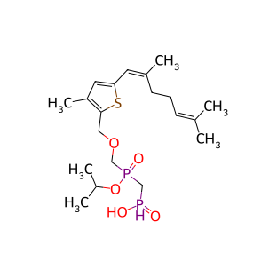 CC(C)=CCCC(C)=Cc1cc(C)c(COCP(=O)(C[PH](=O)O)OC(C)C)s1